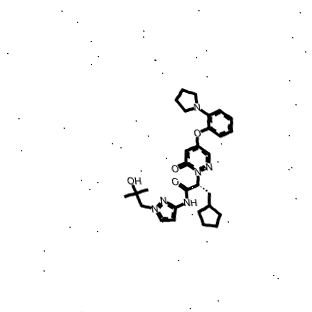 CC(C)(O)Cn1ccc(NC(=O)[C@@H](CC2CCCC2)n2ncc(Oc3ccccc3N3CCCC3)cc2=O)n1